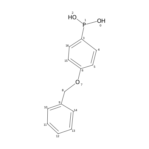 OP(O)c1ccc(OCc2ccccc2)cc1